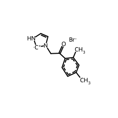 Cc1ccc(C(=O)CN2[C+]NC=C2)c(C)c1.[Br-]